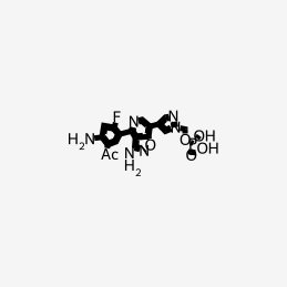 CC(=O)c1cc(-c2ncc(-c3cnn(COP(=O)(O)O)c3)c3onc(N)c23)c(F)cc1N